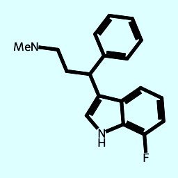 CNCCC(c1ccccc1)c1c[nH]c2c(F)cccc12